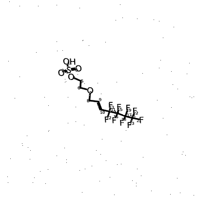 O=S(=O)(O)OCCOC/C=C/C(F)(F)C(F)(F)C(F)(F)C(F)(F)F